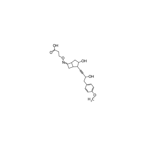 COc1ccc(CC(O)C#CC2C(O)CC3C(=NOCCC(=O)O)CC32)cc1